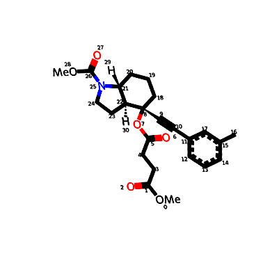 COC(=O)CCC(=O)O[C@@]1(C#Cc2cccc(C)c2)CCC[C@@H]2[C@@H]1CCN2C(=O)OC